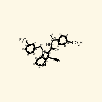 C#Cc1c(C(=O)N[C@@H](C)c2ccc(C(=O)O)cc2)n(Cc2cccc(C(F)(F)F)c2)c2cccnc12